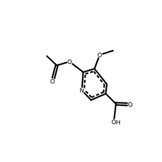 COc1cc(C(=O)O)cnc1OC(C)=O